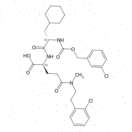 CN(CCc1ccccc1Cl)C(=O)CC[C@H](NC(=O)[C@H](CC1CCCCC1)NC(=O)OCc1cccc(Cl)c1)C(=O)O